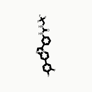 O=C(NCC(F)(F)F)Nc1cccc(-c2cnc3cc(-c4ccc(F)c(F)c4)ccn23)c1